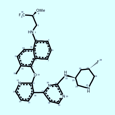 CO[C@@H](CNc1cccc2c(Oc3ncccc3-c3ccnc(N[C@@H]4CNC[C@@H](F)C4)n3)c(C)ccc12)C(F)(F)F